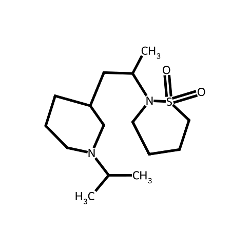 CC(C)N1CCCC(CC(C)N2CCCCS2(=O)=O)C1